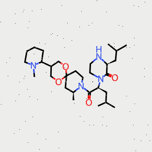 CC(C)C[C@@H]1NCCN([C@@H](CC(C)C)C(=O)N2CCC3(C[C@@H]2C)OCC(C2CCCCN2C)CO3)C1=O